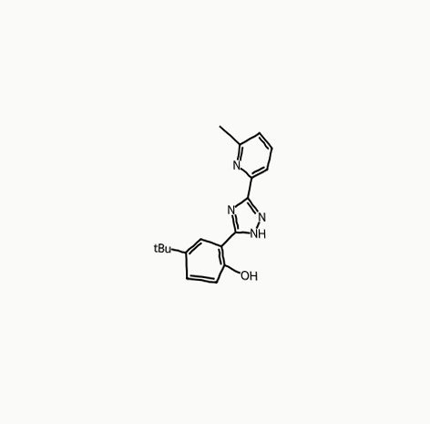 Cc1cccc(-c2n[nH]c(-c3cc(C(C)(C)C)ccc3O)n2)n1